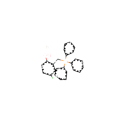 Oc1ccc(Cl)cc1C[P+](c1ccccc1)(c1ccccc1)c1ccccc1.[Br-]